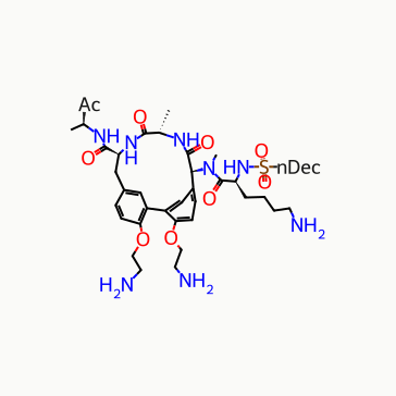 CCCCCCCCCCS(=O)(=O)N[C@@H](CCCCN)C(=O)N(C)[C@@H]1C(=O)N[C@@H](C)C(=O)N[C@H](C(=O)N[C@@H](C)C(C)=O)Cc2ccc(OCCN)c(c2)-c2cc1ccc2OCCN